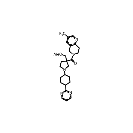 COCC1(C(=O)N2CCc3ncc(C(F)(F)F)cc3C2)CCN(C2CCC(c3ncccn3)CC2)C1